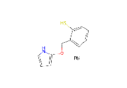 Sc1ccccc1COc1ccc[nH]1.[Pb]